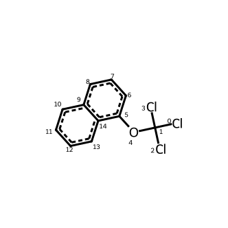 ClC(Cl)(Cl)Oc1cccc2ccccc12